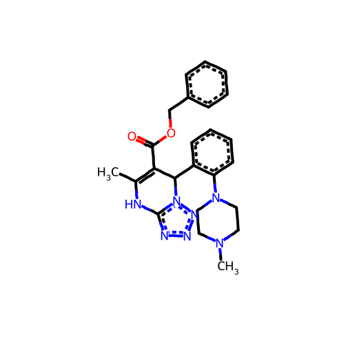 CC1=C(C(=O)OCc2ccccc2)C(c2ccccc2N2CCN(C)CC2)n2nnnc2N1